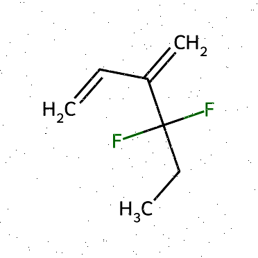 C=CC(=C)C(F)(F)CC